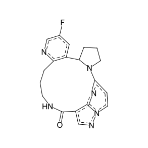 O=C1NCCCc2ncc(F)cc2C2CCCN2c2ccn3ncc1c3n2